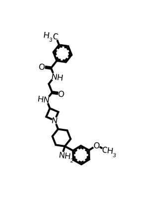 COc1cccc(C2(N)CCC(N3CC(NC(=O)CNC(=O)c4cccc(C)c4)C3)CC2)c1